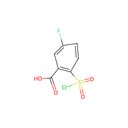 O=C(O)c1cc(F)ccc1S(=O)(=O)Cl